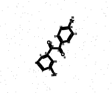 O=C(C(=O)c1cccc(Br)c1)c1ccc(Br)cc1